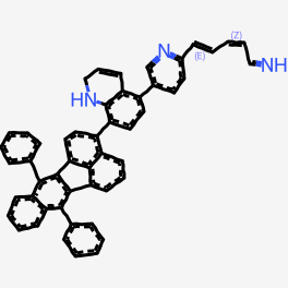 N=C/C=C\C=C\c1ccc(-c2ccc(-c3ccc4c5c(cccc35)-c3c-4c(-c4ccccc4)c4ccccc4c3-c3ccccc3)c3c2C=CCN3)cn1